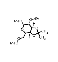 COOC[C@H]1O[C@@H](OC)[C@H](OC(C)C)[C@H]2OC(C)(C)O[C@H]21